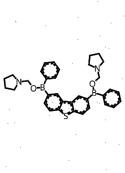 c1ccc(B(OCN2CCCC2)c2ccc3sc4ccc(B(OCN5CCCC5)c5ccccc5)cc4c3c2)cc1